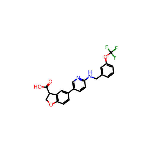 O=C(O)C1COc2ccc(-c3ccc(NCc4cccc(OC(F)(F)F)c4)nc3)cc21